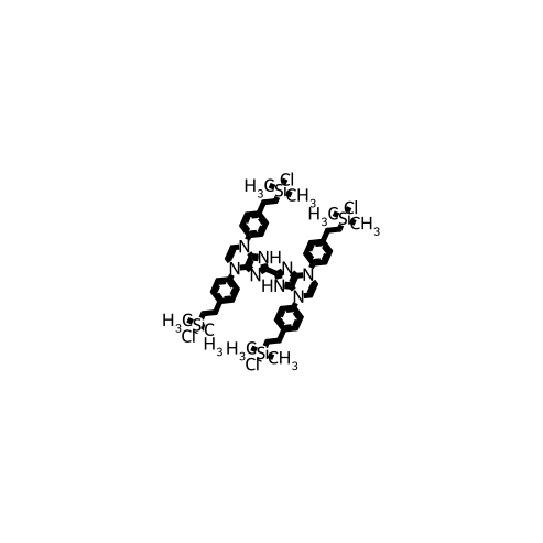 C[Si](C)(Cl)CCc1ccc(N2C=CN(c3ccc(CC[Si](C)(C)Cl)cc3)c3[nH]c(-c4nc5c([nH]4)N(c4ccc(CC[Si](C)(C)Cl)cc4)C=CN5c4ccc(CC[Si](C)(C)Cl)cc4)nc32)cc1